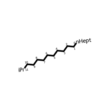 CCCCCCCCCCCCCCCCCC(C)C